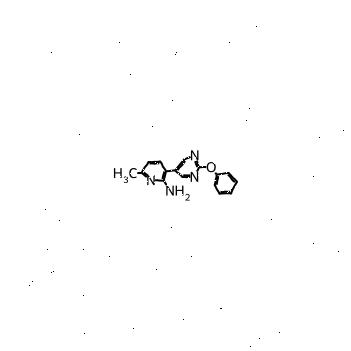 Cc1ccc(-c2cnc(Oc3ccccc3)nc2)c(N)n1